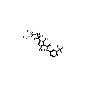 CC[C@@H](C)NS(=O)(=O)c1cn(C)c(C(=O)Nc2ccnc(C(F)(F)F)c2)c1Cl